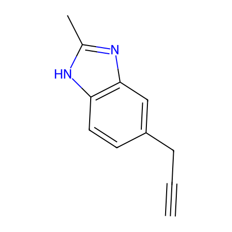 C#CCc1ccc2[nH]c(C)nc2c1